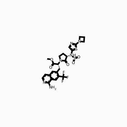 COC(=O)[C@@H](Cc1cc2ccnc(N)c2cc1C(F)(F)F)N1CC[C@H](N(c2cnc(N3CCC3)s2)[SH](=O)=O)C1=O